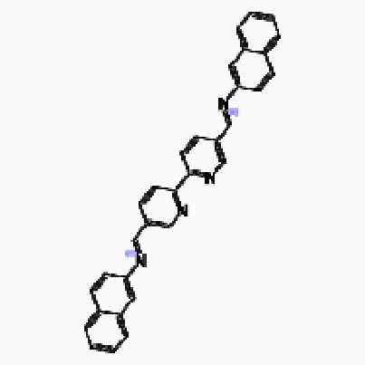 C(=N\c1ccc2ccccc2c1)/c1ccc(-c2ccc(/C=N/c3ccc4ccccc4c3)cn2)nc1